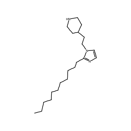 CCCCCCCCCCCc1nccn1CCC1CCNCC1